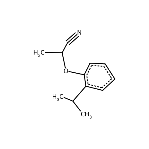 CC(C#N)Oc1ccccc1C(C)C